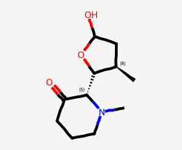 C[C@@H]1CC(O)OC1[C@H]1C(=O)CCCN1C